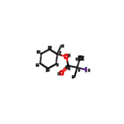 CCC(C)(I)C(=O)OC1(C)CCCCC1